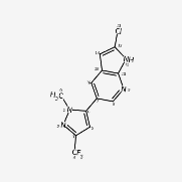 Cn1nc(C(F)(F)F)cc1-c1cnc2[nH]c(Cl)cc2c1